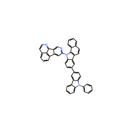 c1ccc(-n2c3ccccc3c3cc(-c4ccc5c(c4)c4ccc6ccccc6c4n5-c4cc5c(cn4)-c4nccc6cccc-5c46)ccc32)cc1